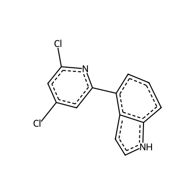 Clc1cc(Cl)nc(-c2cccc3[nH]ccc23)c1